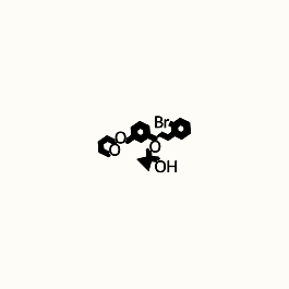 OCC1(CO[C@H](CCc2ccccc2Br)c2cccc(COC3CCCCO3)c2)CC1